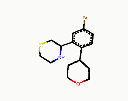 Brc1ccc(C2CCOCC2)c(C2CSCCN2)c1